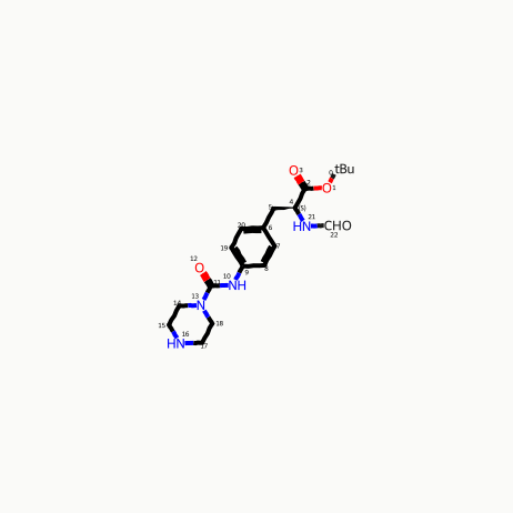 CC(C)(C)OC(=O)[C@H](Cc1ccc(NC(=O)N2CCNCC2)cc1)NC=O